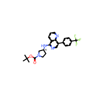 CC(C)(C)OC(=O)N1CC[C@H](Nc2ncc(-c3ccc(C(F)(F)F)cc3)c3ncccc23)C1